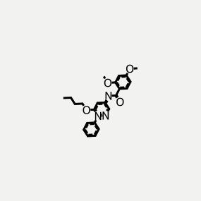 CCCCOc1cc(=NC(=O)c2ccc(OC)cc2OC)cnn1-c1ccccc1